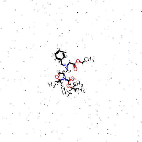 CCOC(=O)CN(Cc1ccccc1)C[C@H]1COC(C)(C)N1C(=O)OC(C)(C)C